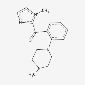 CN1CCN(c2ccccc2C(=O)c2nccn2C)CC1